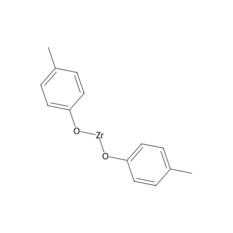 Cc1ccc([O][Zr][O]c2ccc(C)cc2)cc1